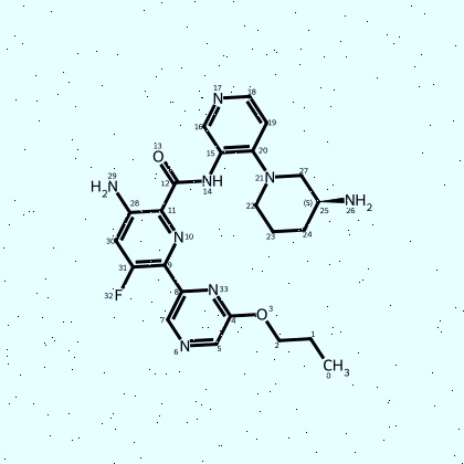 CCCOc1cncc(-c2nc(C(=O)Nc3cnccc3N3CCC[C@H](N)C3)c(N)cc2F)n1